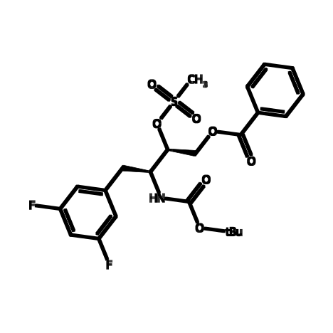 CC(C)(C)OC(=O)N[C@@H](Cc1cc(F)cc(F)c1)[C@H](COC(=O)c1ccccc1)OS(C)(=O)=O